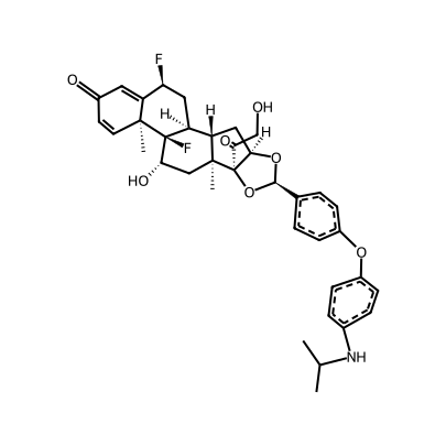 CC(C)Nc1ccc(Oc2ccc([C@@H]3O[C@@H]4C[C@H]5[C@@H]6C[C@H](F)C7=CC(=O)C=C[C@]7(C)[C@@]6(F)[C@@H](O)C[C@]5(C)[C@]4(C(=O)CO)O3)cc2)cc1